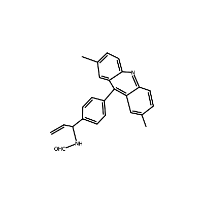 C=CC(NC=O)c1ccc(-c2c3cc(C)ccc3nc3ccc(C)cc23)cc1